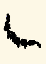 C=CCCc1ccc(-c2ccc(-c3ccc(OC(F)(F)c4ccc(-c5ccc(CC/C=C/C)cc5)cc4F)cc3F)cc2F)cc1